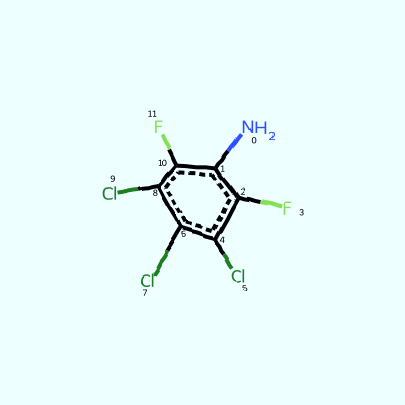 Nc1c(F)c(Cl)c(Cl)c(Cl)c1F